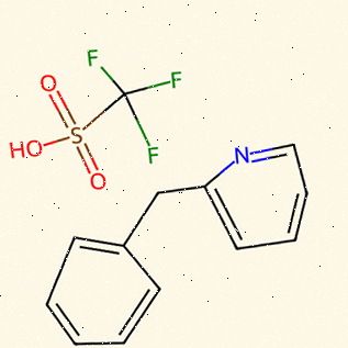 O=S(=O)(O)C(F)(F)F.c1ccc(Cc2ccccn2)cc1